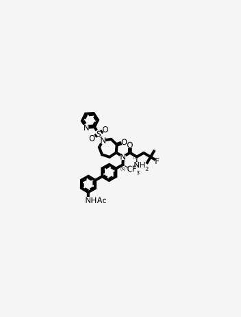 CC(=O)Nc1cccc(-c2ccc([C@H](N(C(=O)[C@@H](N)CC(C)(C)F)C3CCCN(S(=O)(=O)c4ccccn4)CC3=O)C(F)(F)F)cc2)c1